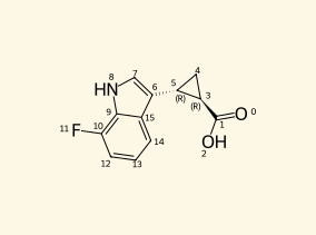 O=C(O)[C@@H]1C[C@H]1c1c[nH]c2c(F)cccc12